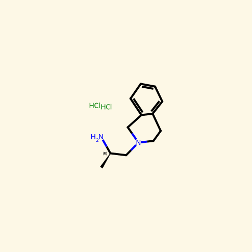 C[C@@H](N)CN1CCc2ccccc2C1.Cl.Cl